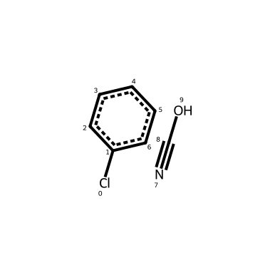 Clc1ccccc1.N#CO